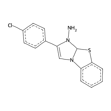 NN1C(c2ccc(Cl)cc2)=CN2c3ccccc3SC12